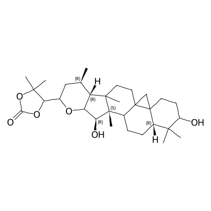 C[C@@H]1CC(C2OC(=O)OC2(C)C)OC2[C@H]1C1(C)CCC34CC35CCC(O)C(C)(C)[C@@H]5CCC4[C@]1(C)[C@H]2O